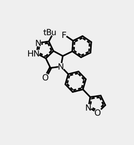 CC(C)(C)c1n[nH]c2c1C(c1ccccc1F)N(c1ccc(-c3ccon3)cc1)C2=O